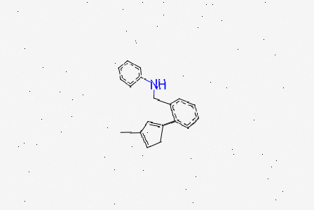 CC1=CCC(c2ccccc2CNc2ccccc2)=C1